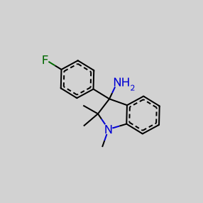 CN1c2ccccc2C(N)(c2ccc(F)cc2)C1(C)C